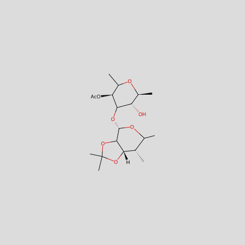 CC(=O)O[C@H]1C(C)O[C@@H](C)[C@H](O)C1O[C@@H]1OC(C)[C@H](C)[C@@H]2OC(C)(C)OC12